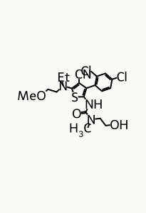 CCN(CCOC)c1sc(NC(=O)N(C)CCO)c(-c2ccc(Cl)cc2Cl)c1C#N